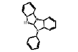 C1=CCC(N2C3C=CC=CC3N3C4C=CC=CC4NC23)C=C1